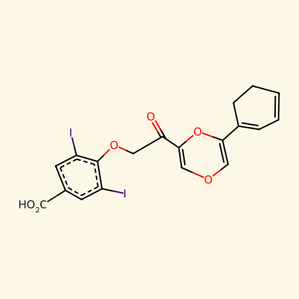 O=C(COc1c(I)cc(C(=O)O)cc1I)C1=COC=C(C2=CC=CCC2)O1